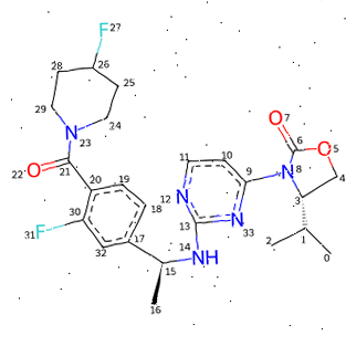 CC(C)[C@H]1COC(=O)N1c1ccnc(N[C@@H](C)c2ccc(C(=O)N3CCC(F)CC3)c(F)c2)n1